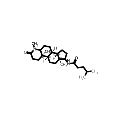 CC(C)CCC(=O)NC1CC[C@H]2[C@@H]3CCC4N(C)C(=O)CC[C@]4(C)[C@@H]3CC[C@]12C